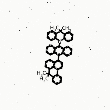 CC1(C)c2ccccc2N(c2c3ccccc3c(-c3ccc4c5c(cccc35)C(C)(C)c3ccccc3-4)c3ccccc23)c2ccccc21